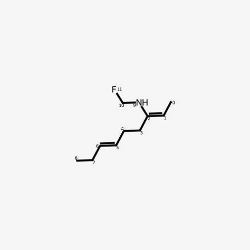 C/C=C(/CC/C=C/CC)NCF